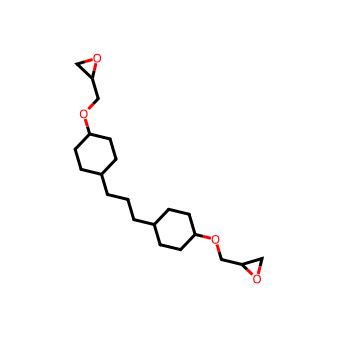 C(CC1CCC(OCC2CO2)CC1)CC1CCC(OCC2CO2)CC1